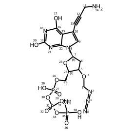 [N-]=[N+]=NCOC1C[C@H](n2cc(C#CCN)c3c(O)nc(O)nc32)O[C@@H]1COP(=O)(O)OP(=O)(O)OP(=O)(O)O